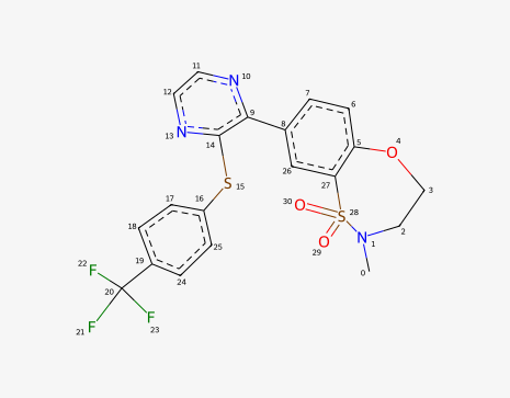 CN1CCOc2ccc(-c3nccnc3Sc3ccc(C(F)(F)F)cc3)cc2S1(=O)=O